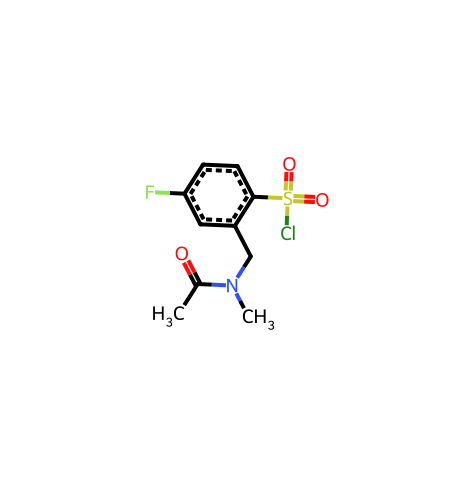 CC(=O)N(C)Cc1cc(F)ccc1S(=O)(=O)Cl